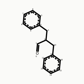 O=CC(Cc1ccccc1)Cc1ccccc1